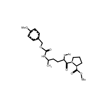 COc1ccc(COC(=O)NC(C)CCC(SC(C)=O)C(=O)N2CCC[C@H]2C(=O)OC(C)(C)C)cc1